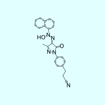 CC1=NN(c2ccc(CCC#N)cc2)C(=O)C1=NN(O)c1cccc2ccccc12